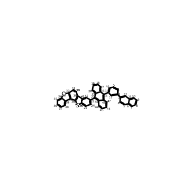 c1cc(-c2ccc3ccccc3c2)cc(-c2c3ccccc3c(-c3ccc4sc5c(ccc6oc7ccccc7c65)c4c3)c3ccccc23)c1